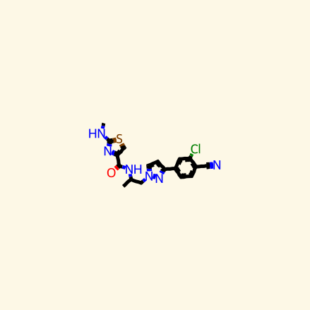 CNc1nc(C(=O)NC(C)Cn2ccc(-c3ccc(C#N)c(Cl)c3)n2)cs1